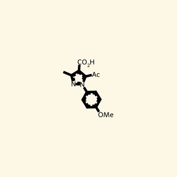 COc1ccc(-n2nc(C)c(C(=O)O)c2C(C)=O)cc1